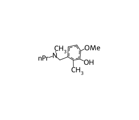 CCCN(C)Cc1ccc(OC)c(O)c1C